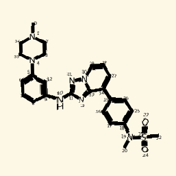 CN1CCN(c2cccc(Nc3nc4c(-c5ccc(N(C)S(C)(=O)=O)cc5)cccn4n3)c2)CC1